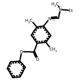 CCN(C)/C=N/c1cc(C)c(C(=O)Oc2ccccc2)cc1C